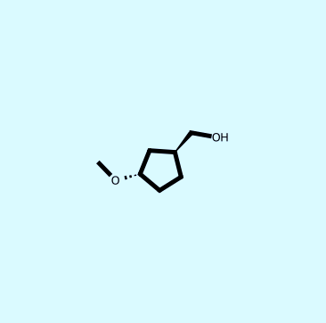 CO[C@H]1CC[C@H](CO)C1